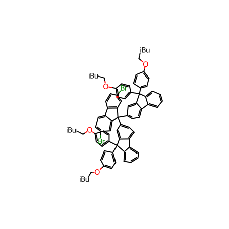 CCC(C)COc1ccc(C2(c3ccc(OCC(C)CC)cc3)c3ccccc3-c3ccc(C4(c5ccc6c(c5)C(c5ccc(OCC(C)CC)cc5)(c5ccc(OCC(C)CC)cc5)c5ccccc5-6)c5cc(Br)ccc5-c5ccc(Br)cc54)cc32)cc1